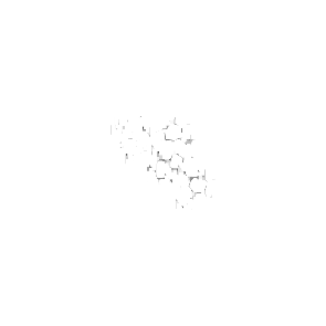 C[C@H]1C(C(CF)C(F)F)N(C(=O)O)CCN1c1ncnc2c1c(-c1ccccc1F)cn2-c1cc(C#N)ccn1